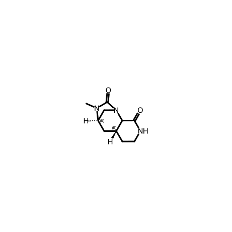 CN1C(=O)N2C[C@H]1C[C@H]1CCNC(=O)C12